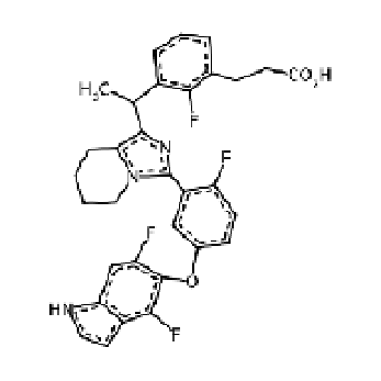 CC(c1cccc(CCC(=O)O)c1F)c1nc(-c2cc(Oc3c(F)cc4[nH]ccc4c3F)ccc2F)n2c1CCCC2